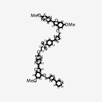 COc1cc(OCc2csc(-c3ccc(S(=O)(=O)CCOc4nn5cc(-c6cc7c(OCc8csc(-c9cccnc9)n8)cc(OC)cc7o6)nc5s4)cc3)n2)c2cc(-c3cn4nc(OC)sc4n3)oc2c1